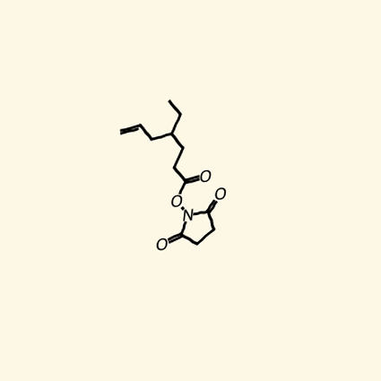 C=CCC(CC)CCC(=O)ON1C(=O)CCC1=O